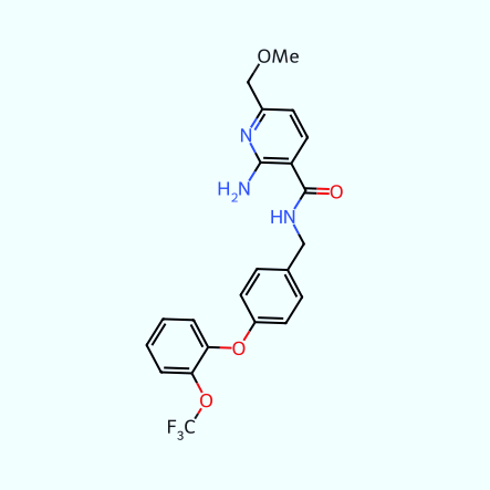 COCc1ccc(C(=O)NCc2ccc(Oc3ccccc3OC(F)(F)F)cc2)c(N)n1